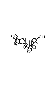 C#Cc1ccc(C(=O)N[C@@]2(C(=O)Nc3ccc(N4CCOCC4=O)c(Cl)c3)CCOC2)s1